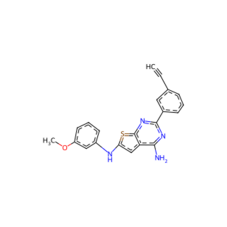 C#Cc1cccc(-c2nc(N)c3cc(Nc4cccc(OC)c4)sc3n2)c1